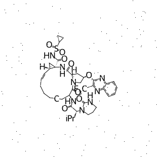 CC(C)[C@@H](C(=O)N[C@H]1CCCCC/C=C\[C@@H]2C[C@@]2(C(=O)NS(=O)(=O)C2CC2)NC(=O)[C@@H]2C[C@@H](Oc3nc4ccccc4nc3C(F)(F)F)CN2C1=O)N1CCCNC1=O